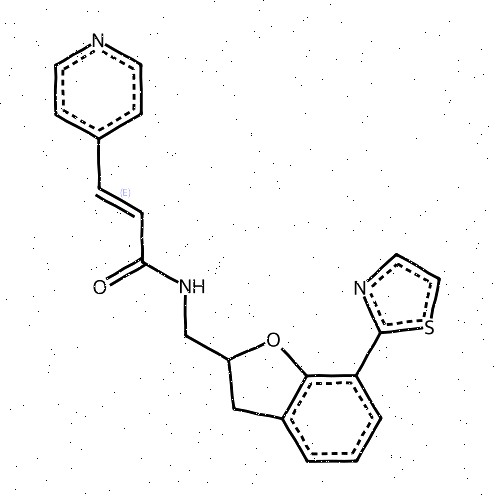 O=C(/C=C/c1ccncc1)NCC1Cc2cccc(-c3nccs3)c2O1